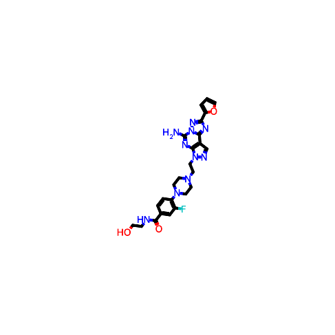 Nc1nc2c(cnn2CCN2CCN(c3ccc(C(=O)NCCO)cc3F)CC2)c2nc(-c3ccco3)nn12